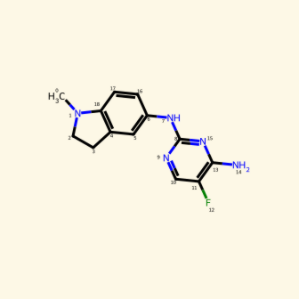 CN1CCc2cc(Nc3ncc(F)c(N)n3)ccc21